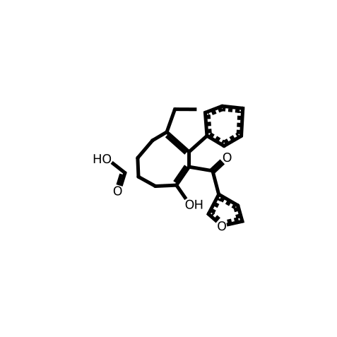 CCC1=C(c2ccccc2)C(C(=O)c2ccoc2)=C(O)CCCC1.O=CO